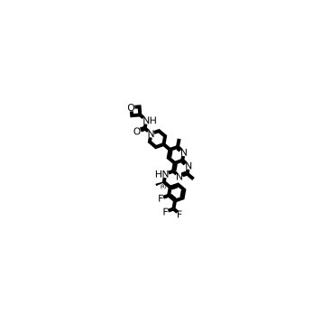 Cc1nc(N[C@H](C)c2cccc(C(F)F)c2F)c2cc(C3CCN(C(=O)NC4COC4)CC3)c(C)nc2n1